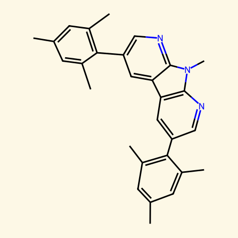 Cc1cc(C)c(-c2cnc3c(c2)c2cc(-c4c(C)cc(C)cc4C)cnc2n3C)c(C)c1